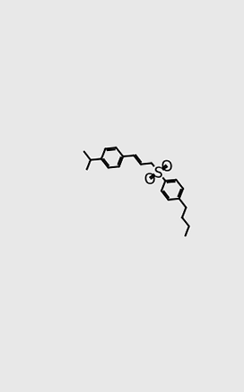 CCCCc1ccc(S(=O)(=O)CC=Cc2ccc(C(C)C)cc2)cc1